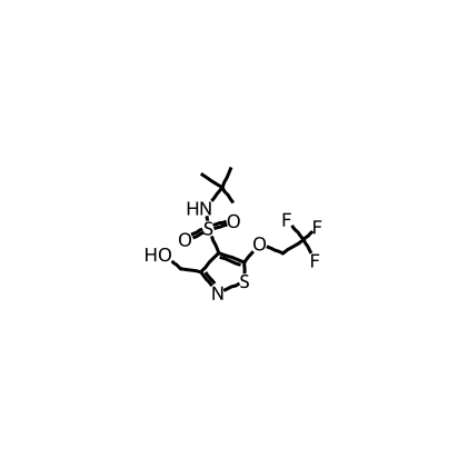 CC(C)(C)NS(=O)(=O)c1c(CO)nsc1OCC(F)(F)F